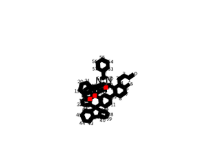 C=C/C=C\c1c(C)ccc(-c2ccc3c(c2)C2(c4ccccc4-c4ccccc42)c2ccccc2C32c3ccccc3-c3ccccc32)c1-c1nc(-c2ccccc2)nc(-c2ccccc2)n1